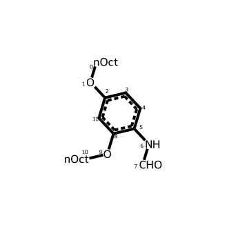 CCCCCCCCOc1ccc(NC=O)c(OCCCCCCCC)c1